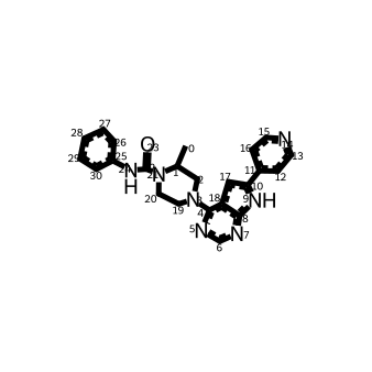 CC1CN(c2ncnc3[nH]c(-c4ccncc4)cc23)CCN1C(=O)Nc1ccccc1